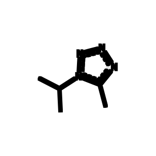 Cc1nnnn1C(C)C